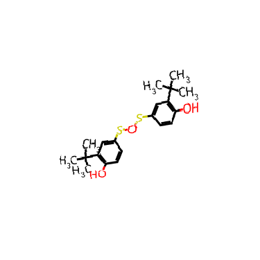 CC(C)(C)c1cc(SOSc2ccc(O)c(C(C)(C)C)c2)ccc1O